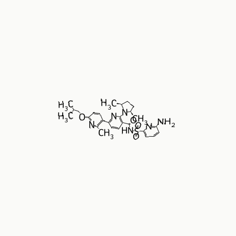 Cc1nc(OCC(C)C)ccc1-c1ccc(C(=O)NS(=O)(=O)c2cccc(N)n2)c(N2[C@H](C)CC[C@@H]2C)n1